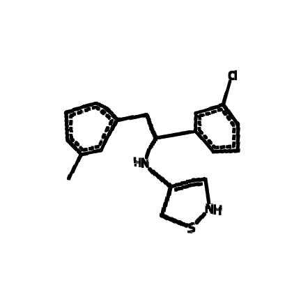 Cc1cccc(CC(NC2=CNSC2)c2cccc(Cl)c2)c1